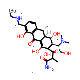 CC(C(N)=O)C(=O)[C@@]1(O)C(O)=C2C(=O)c3c(ccc(CNCC(C)(C)C)c3O)[C@H](C)[C@H]2[C@H](O)[C@H]1[C@@H](CO)N(C)C